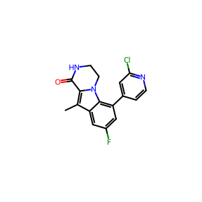 Cc1c2n(c3c(-c4ccnc(Cl)c4)cc(F)cc13)CCNC2=O